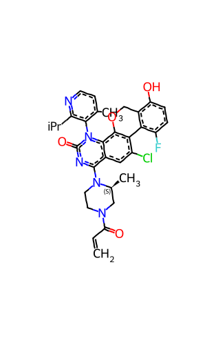 C=CC(=O)N1CCN(c2nc(=O)n(-c3c(C)ccnc3C(C)C)c3c4c(c(Cl)cc23)-c2c(F)ccc(O)c2CO4)[C@@H](C)C1